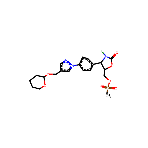 CS(=O)(=O)OCC1OC(=O)N(F)C1c1ccc(-n2cc(COC3CCCCO3)cn2)cc1